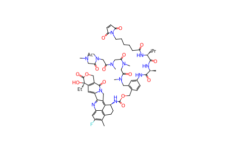 CC[C@@]1(O)C(=O)OCc2c1cc1n(c2=O)Cc2c-1nc1cc(F)c(C)c3c1c2[C@@H](NC(=O)OCc1ccc(NC(=O)[C@H](C)NC(=O)[C@@H](NC(=O)CCCCCN2C(=O)C=CC2=O)C(C)C)cc1CN(C)C(=O)CN(C)C(=O)CN(C)C(=O)CN(C)C(=O)CN(C)C(C)=O)CC3